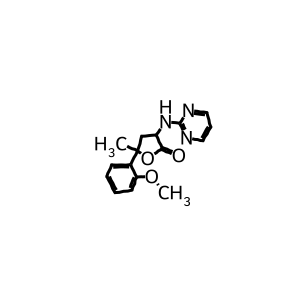 COc1ccccc1C1(C)CC(Nc2ncccn2)C(=O)O1